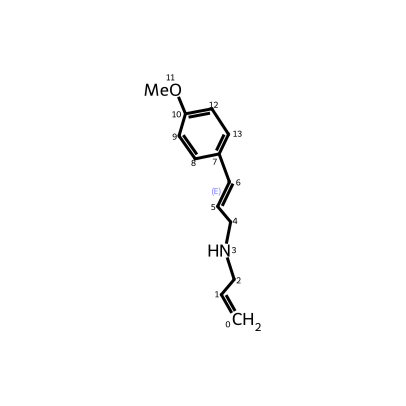 C=CCNC/C=C/c1ccc(OC)cc1